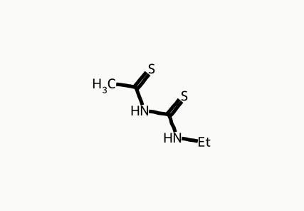 CCNC(=S)NC(C)=S